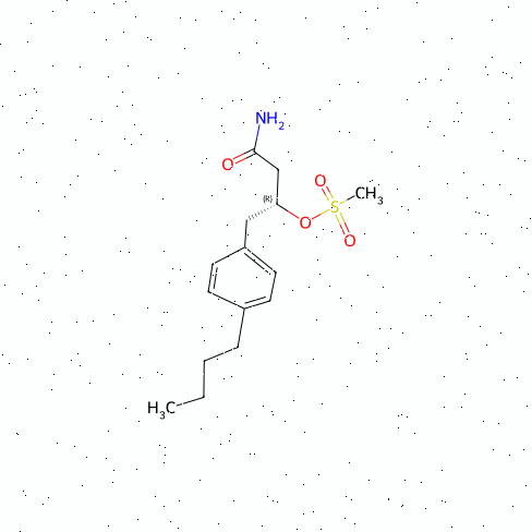 CCCCc1ccc(C[C@H](CC(N)=O)OS(C)(=O)=O)cc1